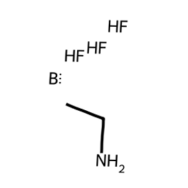 CCN.F.F.F.[B]